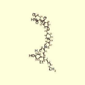 C=C\C=C/C=C/C(CC)=C(\C=C\C=C(/C=C)N1CCC(CN2CCC(COc3ccc4c(c3)CN(C3CCC(=O)NC3=O)C4=O)CC2)CC1)c1ccc(O)cc1